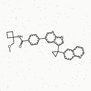 COCC1(NC(=O)c2ccc(-c3cnc4ncc(C5(c6ccc7ncccc7c6)CC5)n4c3)cc2)CCC1